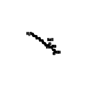 CCCCCCCCCCCC(=O)N[C@H](C=O)CCC(=O)O.[NaH]